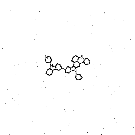 c1ccc(-n2c3ccc(-c4ccc5c(c4)c4ccccc4n5-c4ccncc4)cc3c3c4cccc5c4c(cc32)-c2ccccc2S5)cc1